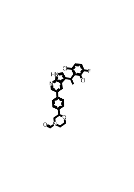 CC(c1c(Cl)ccc(F)c1Cl)c1c[nH]c2ncc(-c3ccc(C4CN(C=O)CCO4)cc3)cc12